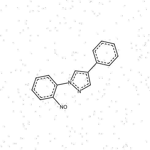 O=Nc1ccccc1-n1cc(-c2ccccc2)cn1